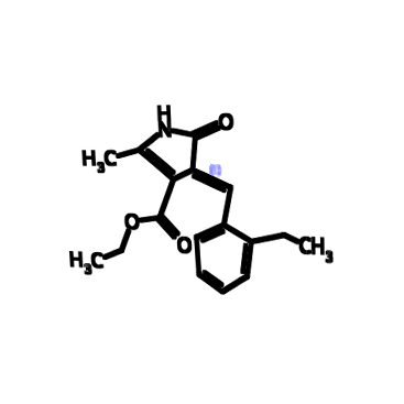 CCOC(=O)C1=C(C)NC(=O)/C1=C/c1ccccc1CC